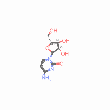 Nc1ccn(C2O[C@H](CO)[C@@H](O)[C@@H]2O)c(=O)n1